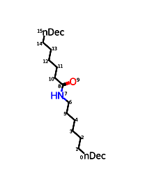 CCCCCCCCCCCCCCCCNC(=O)CCCCCCCCCCCCCCC